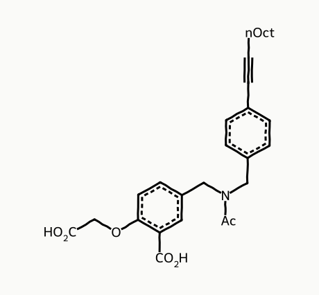 CCCCCCCCC#Cc1ccc(CN(Cc2ccc(OCC(=O)O)c(C(=O)O)c2)C(C)=O)cc1